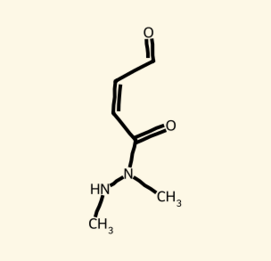 CNN(C)C(=O)/C=C\C=O